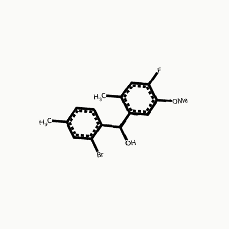 COc1cc(C(O)c2ccc(C)cc2Br)c(C)cc1F